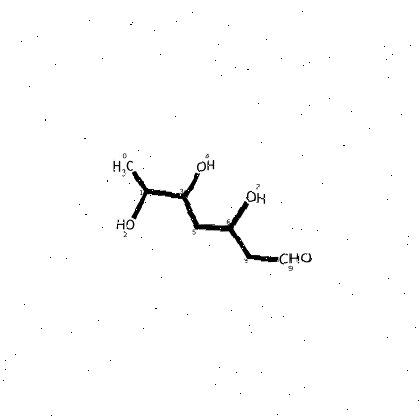 CC(O)C(O)CC(O)CC=O